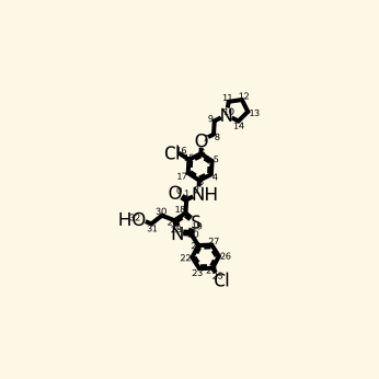 O=C(Nc1ccc(OCCN2CCCC2)c(Cl)c1)c1sc(-c2ccc(Cl)cc2)nc1CCO